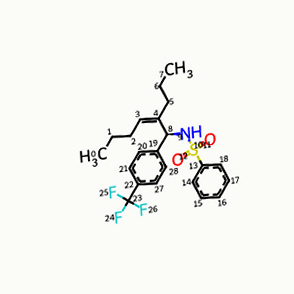 CCC/C=C(/CCC)[C@@H](NS(=O)(=O)c1ccccc1)c1ccc(C(F)(F)F)cc1